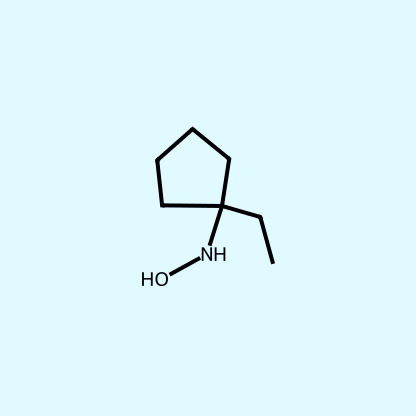 CCC1(NO)CCCC1